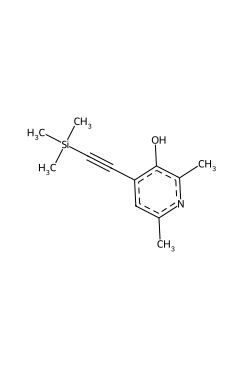 Cc1cc(C#C[Si](C)(C)C)c(O)c(C)n1